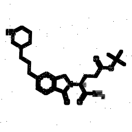 CC(C)(C)OC(=O)CC[C@@H](C(N)=O)N1Cc2cc(CCCC3CCCNC3)ccc2C1=O